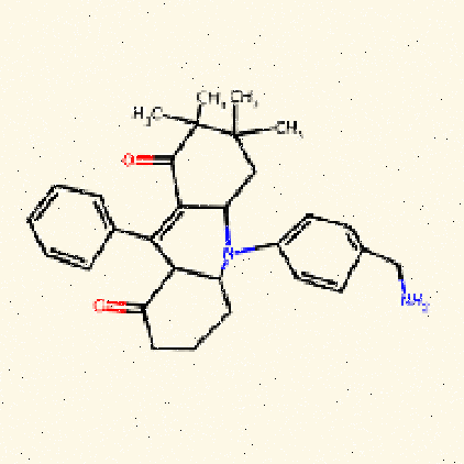 CC1(C)CC2C(=C(c3ccccc3)C3C(=O)CCCC3N2c2ccc(CN)cc2)C(=O)C1(C)C